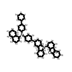 c1ccc(-c2ccc(N(c3ccc(-c4ccc5c(c4)c4ccccc4n5-c4cccc5c4oc4ccccc45)cc3)c3cccc4ccccc34)cc2)cc1